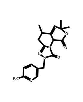 CC1Cc2nn(Cc3ccc(C(F)(F)F)nc3)c(=O)n2C2C(=O)OC(C)(C)C=C12